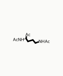 CC(=O)NCCC[C@H](NC(C)=O)C(C)=O